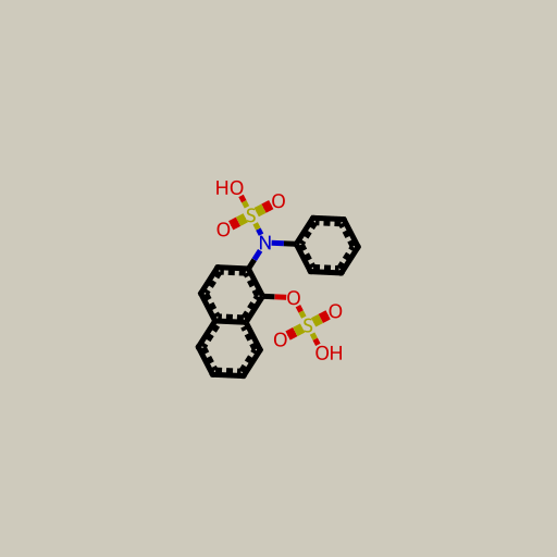 O=S(=O)(O)Oc1c(N(c2ccccc2)S(=O)(=O)O)ccc2ccccc12